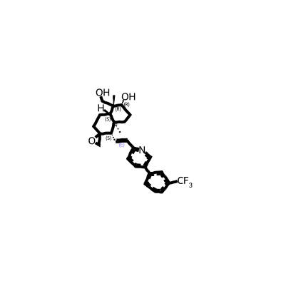 C[C@]1(CO)[C@H]2CCC3(CO3)[C@@H](/C=C/c3ccc(-c4cccc(C(F)(F)F)c4)cn3)[C@]2(C)CC[C@H]1O